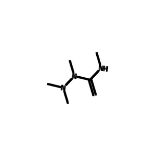 C=C(NC)N(C)N(C)C